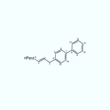 CCCCCC=CCc1ccc(-c2ccccc2)cc1